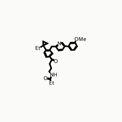 CCC(=O)NCCCC(=O)c1ccc(C2(CC)CC2)c(Cc2ccc(-c3cccc(OC)c3)cn2)c1